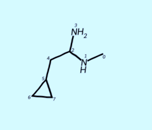 CNC(N)CC1CC1